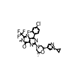 C[C@@H]1CN(c2nc(-c3ccc(Cl)cc3F)c3nc(C(F)(F)F)n(C)c(=O)c3n2)C[C@@H](c2cnn(C3CC3)c2)O1